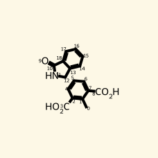 Cc1c(C(=O)O)cccc1C(=O)O.O=C1NCc2ccccc21